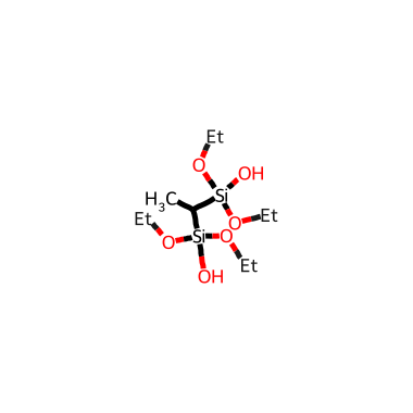 CCO[Si](O)(OCC)C(C)[Si](O)(OCC)OCC